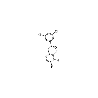 O=C(Cc1ccc(F)c(F)c1F)c1cc(Cl)cc(Cl)c1